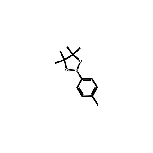 CC1(C)OB(c2ccc(I)cc2)OC1(C)C